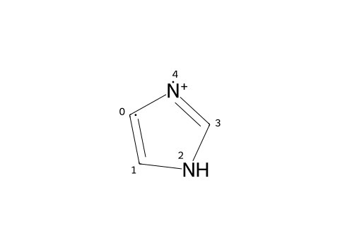 [C]1=CNC=[N+]1